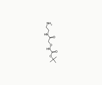 CC(C)(C)OC(=O)NOCC(=O)NCCN